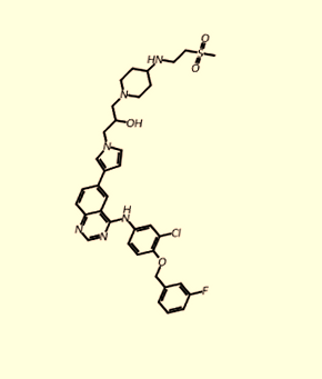 CS(=O)(=O)CCNC1CCN(CC(O)Cn2ccc(-c3ccc4ncnc(Nc5ccc(OCc6cccc(F)c6)c(Cl)c5)c4c3)c2)CC1